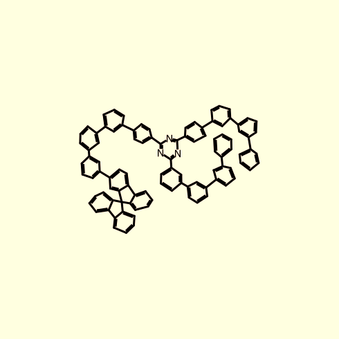 c1ccc(-c2cccc(-c3cccc(-c4ccc(-c5nc(-c6ccc(-c7cccc(-c8cccc(-c9cccc(-c%10ccc%11c(c%10)C%10(c%12ccccc%12-c%12ccccc%12%10)c%10ccccc%10-%11)c9)c8)c7)cc6)nc(-c6cccc(-c7cccc(-c8cccc(-c9ccccc9)c8)c7)c6)n5)cc4)c3)c2)cc1